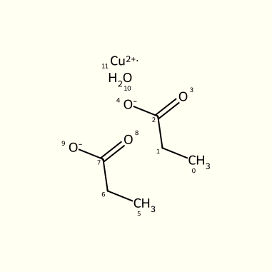 CCC(=O)[O-].CCC(=O)[O-].O.[Cu+2]